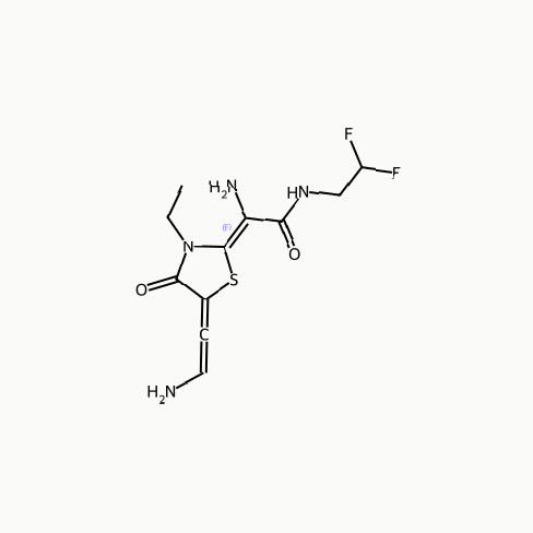 CCn1c(=O)c(=C=CN)s/c1=C(/N)C(=O)NCC(F)F